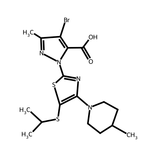 Cc1nn(-c2nc(N3CCC(C)CC3)c(SC(C)C)s2)c(C(=O)O)c1Br